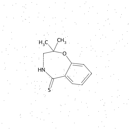 CC1(C)CNC(=S)c2ccccc2O1